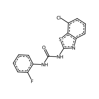 O=C(Nc1nc2cccc(Cl)c2s1)Nc1ccccc1F